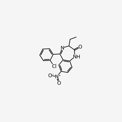 CCC1N=C(c2ccccc2Cl)c2cc([N+](=O)[O-])ccc2NC1=O